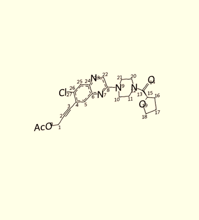 CC(=O)OCC#Cc1cc2nc(N3CCN(C(=O)[C@H]4CCCO4)CC3)cnc2cc1Cl